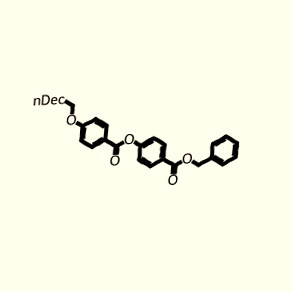 CCCCCCCCCCCOc1ccc(C(=O)Oc2ccc(C(=O)OCc3ccccc3)cc2)cc1